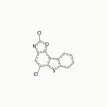 Clc1nc2cc(Cl)c3sc4ccccc4c3c2o1